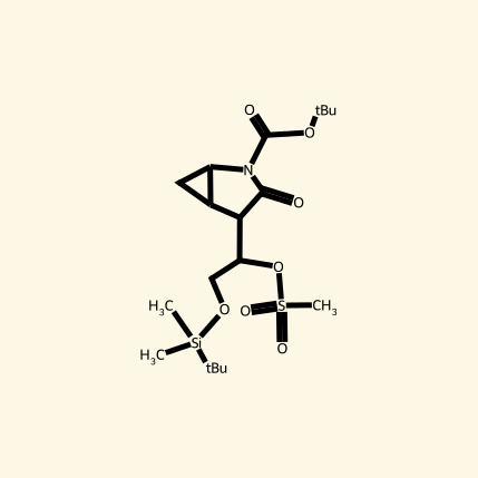 CC(C)(C)OC(=O)N1C(=O)C(C(CO[Si](C)(C)C(C)(C)C)OS(C)(=O)=O)C2CC21